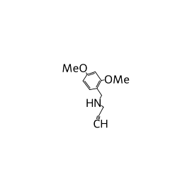 C#CCNCc1ccc(OC)cc1OC